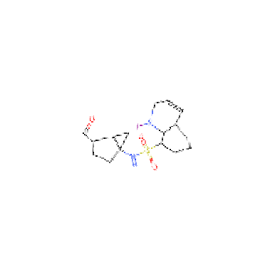 O=CC1CCC2(NS(=O)(=O)C3CCCC4C=CCN(I)C43)CC12